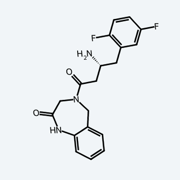 N[C@@H](CC(=O)N1CC(=O)Nc2ccccc2C1)Cc1cc(F)ccc1F